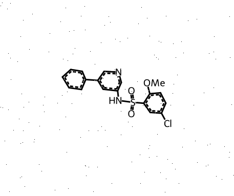 COc1ccc(Cl)cc1S(=O)(=O)Nc1cncc(-c2ccccc2)c1